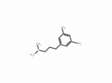 Cc1cc(N)cc(CCCN(C)C)c1